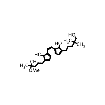 COC(C)(C)CCCC1=CC=C(/C=C\C2=CC=C(CCCC(C)(C)CO)C2O)C1O